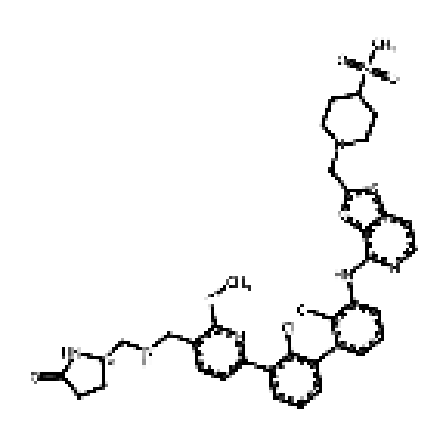 COc1nc(-c2cccc(-c3cccc(Nc4nccc5sc(CN6CCC(S(C)(=O)=O)CC6)nc45)c3Cl)c2Cl)ccc1CNC[C@H]1CCC(=O)N1